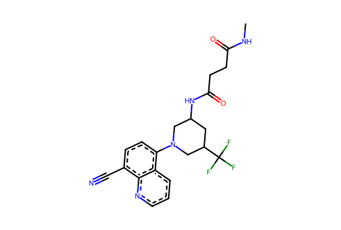 CNC(=O)CCC(=O)NC1CC(C(F)(F)F)CN(c2ccc(C#N)c3ncccc23)C1